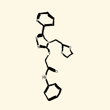 O=C(CSc1nnc(-c2ccccn2)n1CC1OCCO1)Nc1ccccc1